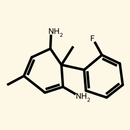 CC1=CC(N)C(C)(c2ccccc2F)C(N)=C1